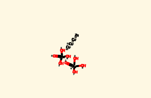 O=[As](O)(O)O.O=[As](O)(O)O.[Cu].[Cu].[Cu].[Zn]